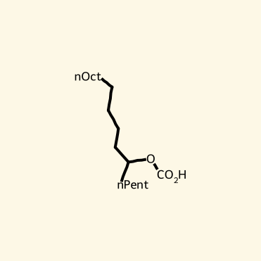 CCCCCCCCCCCCC(CCCCC)OC(=O)O